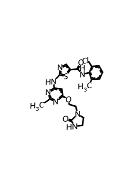 Cc1nc(Nc2ncc(C(=O)Nc3c(C)cccc3Cl)s2)cc(OCCN2CCNC2=O)n1